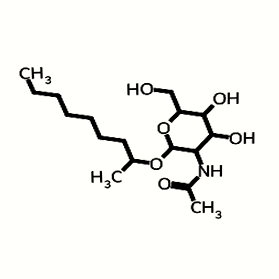 CCCCCCCC(C)OC1OC(CO)C(O)C(O)C1NC(C)=O